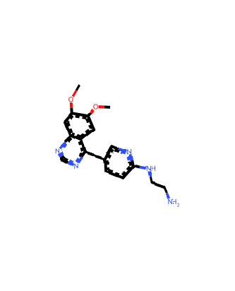 COc1cc2ncnc(-c3ccc(NCCN)nc3)c2cc1OC